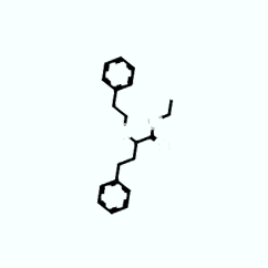 CCOC(=O)C(CCc1ccccc1)SCCc1ccccc1